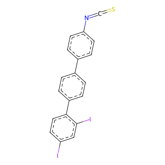 S=C=Nc1ccc(-c2ccc(-c3ccc(I)cc3I)cc2)cc1